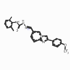 Cc1cccc(C)c1NC(=S)N/N=C/c1ccc2nc(-c3ccc(OC(F)(F)F)cc3)cn2c1